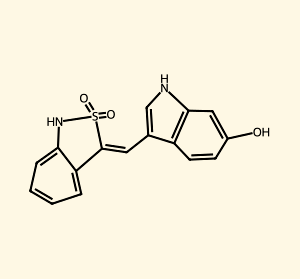 O=S1(=O)Nc2ccccc2C1=Cc1c[nH]c2cc(O)ccc12